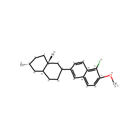 CC[C@@H]1CC[C@@H]2CC(c3ccc4c(F)c(OC(F)(F)F)ccc4c3)CCC2C1